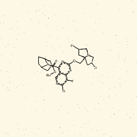 CCC1CN2CC(CC)CC2(COc2nc(N3CC4CCC(C3)N4C(=O)OC(C)(C)C)c3cnc(Cl)c(F)c3n2)C1